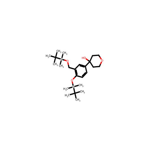 CC(C)(C)[Si](C)(C)OCc1cc(C2(O)CCOCC2)ccc1O[Si](C)(C)C(C)(C)C